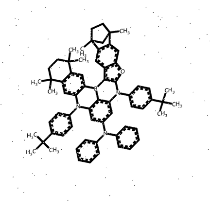 CC(C)(C)c1ccc(N2c3cc4c(cc3B3c5c2cc(N(c2ccccc2)c2ccccc2)cc5N(c2ccc(C(C)(C)C)cc2)c2oc5cc6c(cc5c23)C2(C)CCC6(C)C2)C(C)(C)CCC4(C)C)cc1